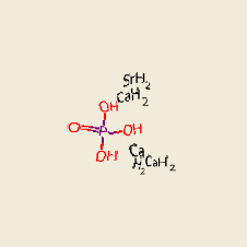 O=P(O)(O)O.[CaH2].[CaH2].[CaH2].[SrH2]